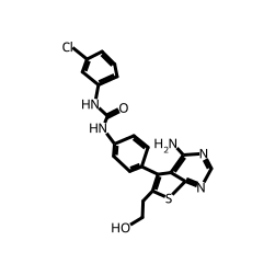 Nc1ncnc2sc(CCO)c(-c3ccc(NC(=O)Nc4cccc(Cl)c4)cc3)c12